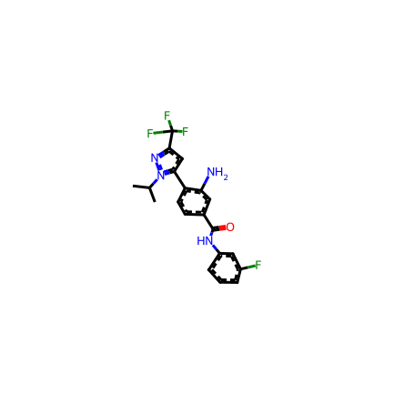 CC(C)n1nc(C(F)(F)F)cc1-c1ccc(C(=O)Nc2cccc(F)c2)cc1N